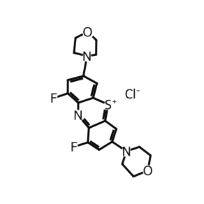 Fc1cc(N2CCOCC2)cc2[s+]c3cc(N4CCOCC4)cc(F)c3nc12.[Cl-]